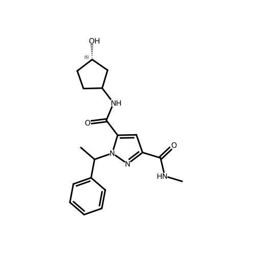 CNC(=O)c1cc(C(=O)NC2CC[C@H](O)C2)n(C(C)c2ccccc2)n1